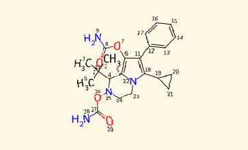 CC(C)(C)C1c2c(OC(N)=O)c(-c3ccccc3)c(C3CC3)n2CCN1OC(N)=O